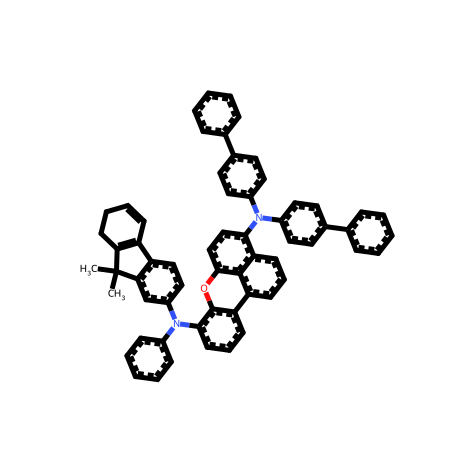 CC1(C)C2=C(C=CCC2)c2ccc(N(c3ccccc3)c3cccc4c3Oc3ccc(N(c5ccc(-c6ccccc6)cc5)c5ccc(-c6ccccc6)cc5)c5cccc-4c35)cc21